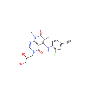 C#Cc1ccc(Nc2c(C)c(=O)n(C)c3ncn(C[C@H](O)CO)c(=O)c23)c(F)c1